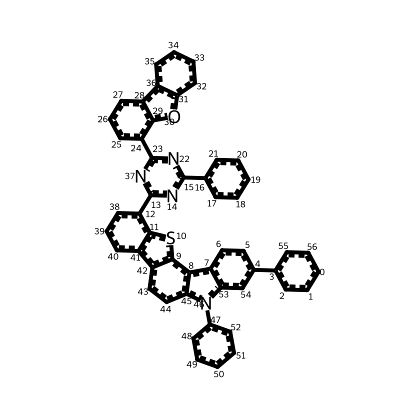 c1ccc(-c2ccc3c4c5sc6c(-c7nc(-c8ccccc8)nc(-c8cccc9c8oc8ccccc89)n7)cccc6c5ccc4n(-c4ccccc4)c3c2)cc1